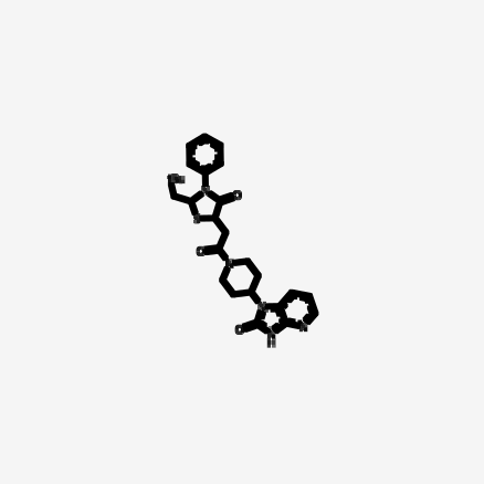 CC(C)(C)CC1SC(CC(=O)N2CCC(n3c(=O)[nH]c4ncccc43)CC2)C(=O)N1c1ccccc1